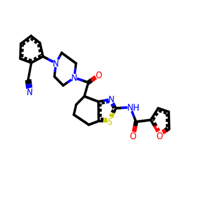 N#Cc1ccccc1N1CCN(C(=O)C2CCCc3sc(NC(=O)c4ccco4)nc32)CC1